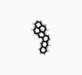 c1ccc2cc3c(ccc4c3cc3ccc5cccc6ccc4c3c56)cc2c1